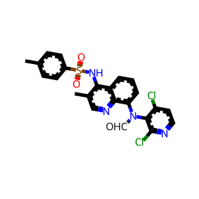 Cc1ccc(S(=O)(=O)Nc2c(C)cnc3c(N(C=O)c4c(Cl)ccnc4Cl)cccc23)cc1